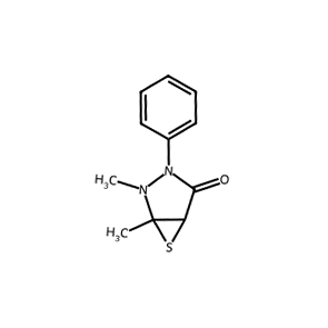 CN1N(c2ccccc2)C(=O)C2SC21C